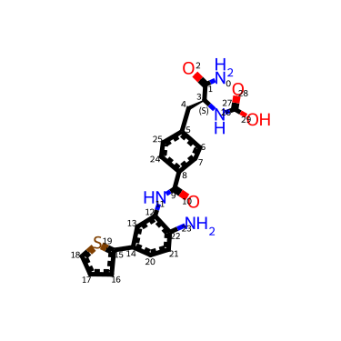 NC(=O)[C@H](Cc1ccc(C(=O)Nc2cc(-c3cccs3)ccc2N)cc1)NC(=O)O